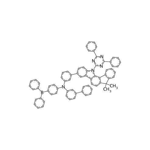 CC1(C)c2ccccc2-c2c1ccc1c3cc(-c4cccc(N(c5ccc(B(c6ccccc6)c6ccccc6)cc5)c5cccc(-c6ccccc6)c5)c4)ccc3n(-c3nc(-c4ccccc4)nc(-c4ccccc4)n3)c21